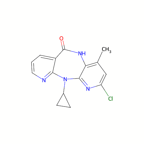 Cc1cc(Cl)nc2c1NC(=O)c1cccnc1N2C1CC1